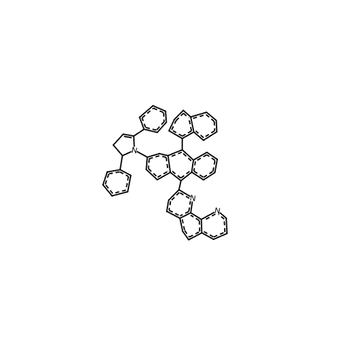 C1=C(c2ccccc2)N(c2ccc3c(-c4ccc5ccc6cccnc6c5n4)c4ccccc4c(-c4cccc5ccccc45)c3c2)C(c2ccccc2)C1